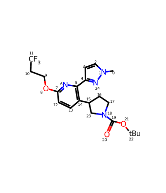 Cn1ccc(-c2nc(OCCC(F)(F)F)ccc2C2CCN(C(=O)OC(C)(C)C)C2)n1